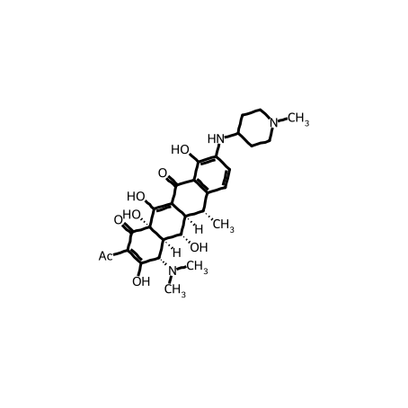 CC(=O)C1=C(O)[C@@H](N(C)C)[C@@H]2[C@@H](O)[C@H]3C(=C(O)[C@]2(O)C1=O)C(=O)c1c(ccc(NC2CCN(C)CC2)c1O)[C@@H]3C